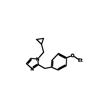 CCOc1ccc(Cc2nccn2CC2CC2)cc1